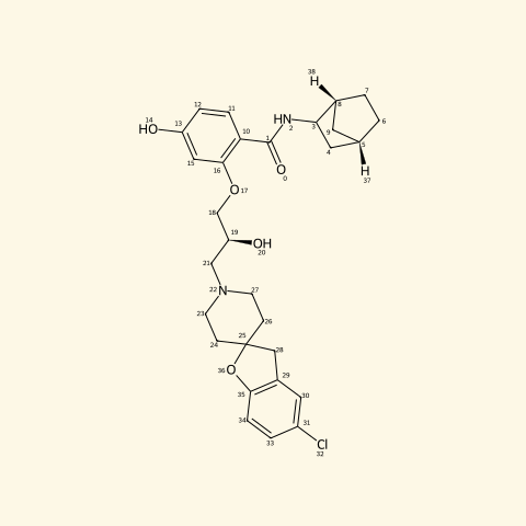 O=C(NC1C[C@H]2CC[C@@H]1C2)c1ccc(O)cc1OC[C@@H](O)CN1CCC2(CC1)Cc1cc(Cl)ccc1O2